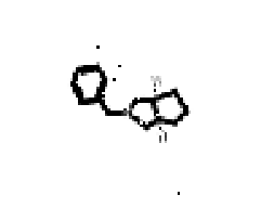 c1ccc(CN2C[C@H]3CCC[C@@H]3C2)cc1